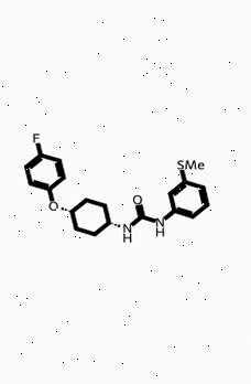 CSc1cccc(NC(=O)N[C@H]2CC[C@@H](Oc3ccc(F)cc3)CC2)c1